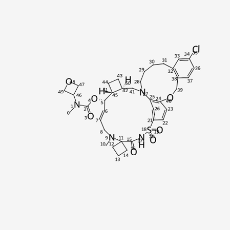 CN(C(=O)O[C@H]1/C=C/CN(C)C2(CCC2)C(=O)NS(=O)(=O)c2ccc3c(c2)N(CCCCc2cc(Cl)ccc2CO3)C[C@@H]2CC[C@H]21)C1COC1